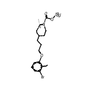 Cc1c(Br)cccc1OCCCC1CCN(C(=O)OC(C)(C)C)[C@@H](C)C1